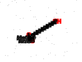 COC1=C(OC)C(=O)C(CCCCCCCCCC=CCCCCCCCO)=C(C)C1=O